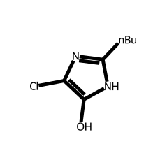 CCCCc1nc(Cl)c(O)[nH]1